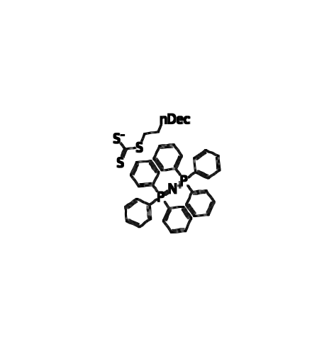 CCCCCCCCCCCCSC(=S)[S-].c1ccc(P(=[N+]=P(c2ccccc2)(c2ccccc2)c2ccccc2)(c2ccccc2)c2ccccc2)cc1